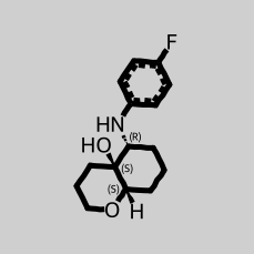 O[C@]12CCCO[C@H]1CCC[C@H]2Nc1ccc(F)cc1